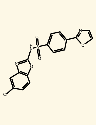 O=S(=O)(Nc1nc2cc(Cl)ccc2o1)c1ccc(-c2ncco2)cc1